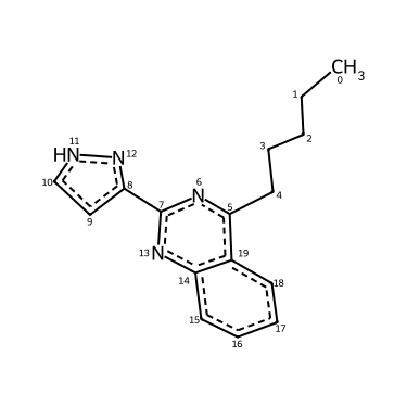 CCCCCc1nc(-c2cc[nH]n2)nc2ccccc12